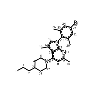 CCCC1CCN(c2cc(C)nc3c2c(C)cn3-c2c(C)cc(Br)cc2C)CC1